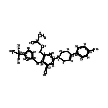 CC(=O)OCc1nc(N2CC=C(c3ccc(F)cc3)CC2)nc(=O)n1Cc1ccc(C(F)(F)F)s1